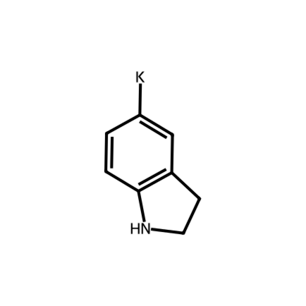 [K][c]1ccc2c(c1)CCN2